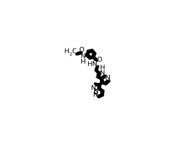 C=CC(=O)Nc1cccc(C(=O)NCCc2cc3c(-c4cnn5ncccc45)ccnc3[nH]2)c1